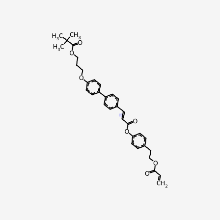 C=CC(=O)OCCc1ccc(OC(=O)/C=C/c2ccc(-c3ccc(OCCCOC(=O)C(C)(C)C)cc3)cc2)cc1